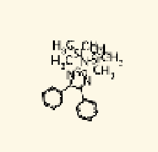 C[Si](C)(C)[N]([Sb]1[N]=C(c2ccccc2)C(c2ccccc2)=[N]1)[Si](C)(C)C